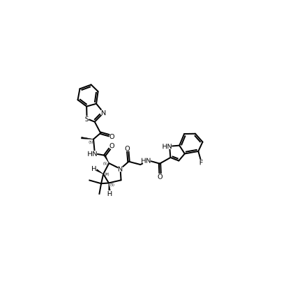 C[C@H](NC(=O)[C@@H]1[C@@H]2[C@H](CN1C(=O)CNC(=O)c1cc3c(F)cccc3[nH]1)C2(C)C)C(=O)c1nc2ccccc2s1